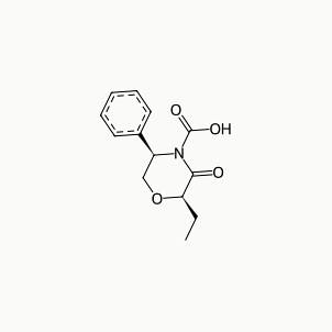 CC[C@H]1OC[C@@H](c2ccccc2)N(C(=O)O)C1=O